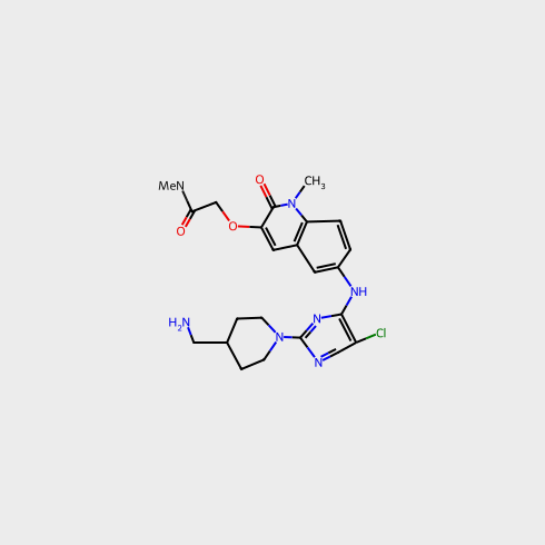 CNC(=O)COc1cc2cc(Nc3nc(N4CCC(CN)CC4)ncc3Cl)ccc2n(C)c1=O